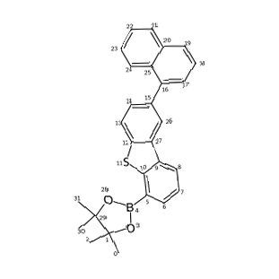 CC1(C)OB(c2cccc3c2sc2ccc(-c4cccc5ccccc45)cc23)OC1(C)C